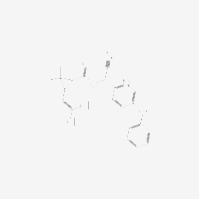 CC1(C)C(C=C(Cl)Cl)C1C(=O)OC(C#N)c1ccc(Oc2ccccc2)cn1